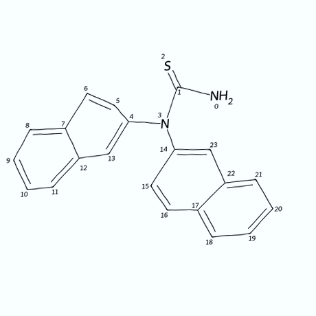 NC(=S)N(c1ccc2ccccc2c1)c1ccc2ccccc2c1